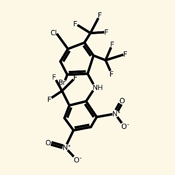 O=[N+]([O-])c1cc([N+](=O)[O-])c(Nc2c(Br)cc(Cl)c(C(F)(F)F)c2C(F)(F)F)c(C(F)(F)F)c1